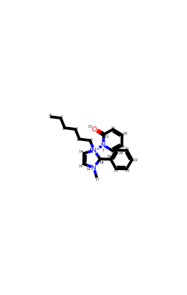 CCCCCC[N+]1(n2ccccc2=O)C=CN(C)C1c1ccccc1